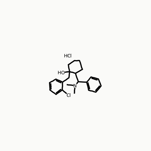 CN(C)C(c1ccccc1)C1CCCCC1(O)Cc1ccccc1Cl.Cl